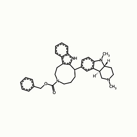 CN1CC[C@@H]2[C@@H](C1)c1cc(C3CCCN(C(=O)OCc4ccccc4)CCc4c3[nH]c3ccccc43)ccc1N2C